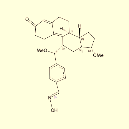 COC(c1ccc(/C=N/O)cc1)[C@H]1C[C@]2(C)[C@@H](OC)CC[C@H]2[C@@H]2CCC3=CC(=O)CCC3=C21